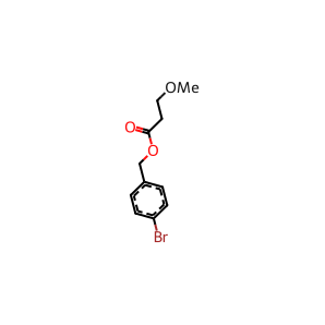 COCCC(=O)OCc1ccc(Br)cc1